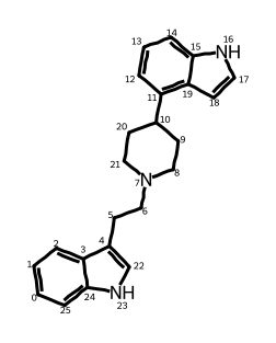 c1ccc2c(CCN3CCC(c4cccc5[nH]ccc45)CC3)c[nH]c2c1